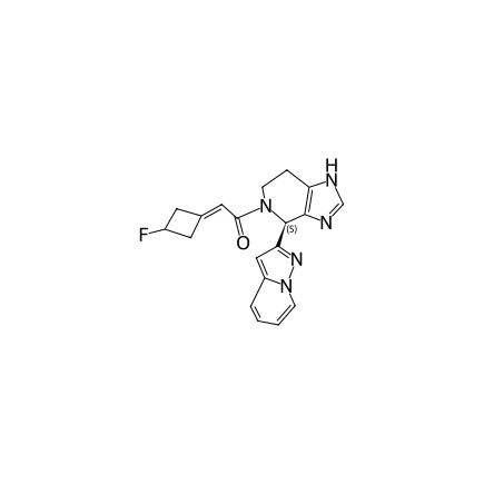 O=C(C=C1CC(F)C1)N1CCc2[nH]cnc2[C@H]1c1cc2ccccn2n1